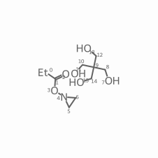 CCC(=O)ON1CC1.OCC(CO)(CO)CO